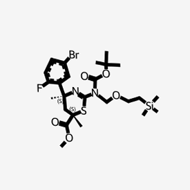 COC(=O)[C@]1(C)C[C@@](C)(c2cc(Br)ccc2F)N=C(N(COCC[Si](C)(C)C)C(=O)OC(C)(C)C)S1